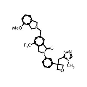 COc1cccc2c1CN(Cc1cc3c(c(C(F)(F)F)c1)CN(c1cccc(C4(Cc5nncn5C)COC4)c1)C3=O)C2